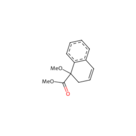 COC(=O)C1(OC)CC=Cc2ccccc21